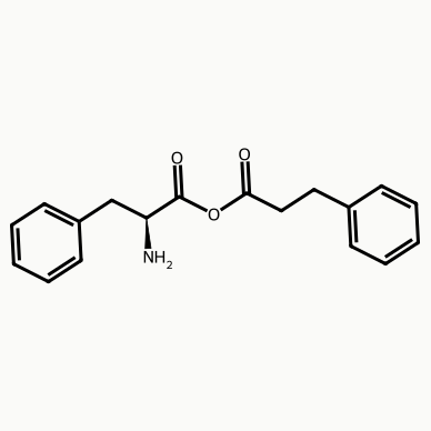 N[C@@H](Cc1ccccc1)C(=O)OC(=O)CCc1ccccc1